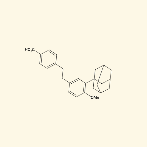 COc1ccc(CCc2ccc(C(=O)O)cc2)cc1C12CC3CC(CC(C3)C1)C2